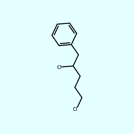 ClCCCC(Cl)Cc1ccccc1